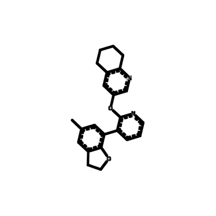 Cc1cc2c(c(-c3cccnc3Oc3cnc4c(c3)CCCC4)c1)OCC2